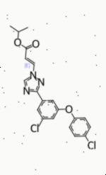 CC(C)OC(=O)/C=C/n1cnc(-c2cc(Cl)cc(Oc3ccc(Cl)cc3)c2)n1